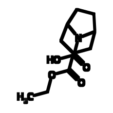 CCOC(=O)C1CC2CCC(C1)N2C(=O)O